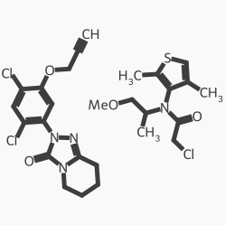 C#CCOc1cc(-n2nc3n(c2=O)CCCC3)c(Cl)cc1Cl.COCC(C)N(C(=O)CCl)c1c(C)csc1C